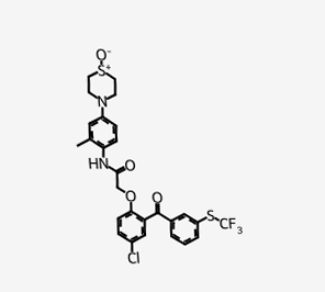 Cc1cc(N2CC[S+]([O-])CC2)ccc1NC(=O)COc1ccc(Cl)cc1C(=O)c1cccc(SC(F)(F)F)c1